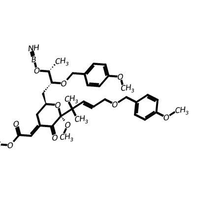 COC(=O)/C=C1\C[C@@H](C[C@@H](OCc2ccc(OC)cc2)[C@@H](C)OB=N)O[C@@](OC)(C(C)(C)/C=C/COCc2ccc(OC)cc2)C1=O